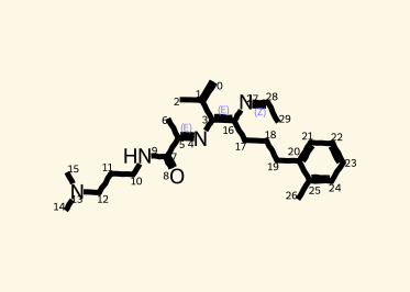 C=C(C)C(/N=C(\C)C(=O)NCCCN(C)C)=C(CCCc1ccccc1C)\N=C/C